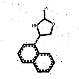 CC(C)C1NC(c2cccc3ccccc23)CO1